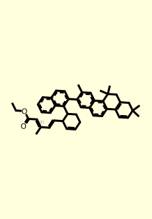 CCOC(=O)/C=C(\C)C=CC1C=CCCC1c1c(-c2cc3ccc4c(c3cc2C)C(C)(C)CC2=C4C=CC(C)(C)C2)ccc2ccccc12